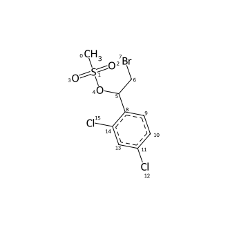 CS(=O)(=O)OC(CBr)c1ccc(Cl)cc1Cl